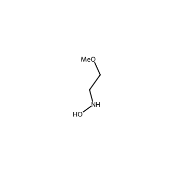 COCCNO